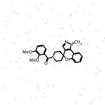 COc1cccc(C(=O)N2CCC3(CC2)Oc2ccccc2-c2c3cnn2C)c1OC